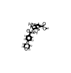 COC(=O)c1cc2[nH]nc(NC(=O)c3ccc(N4CCOCC4)cc3)c2s1